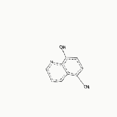 N#Cc1ccc(O)c2ncccc12